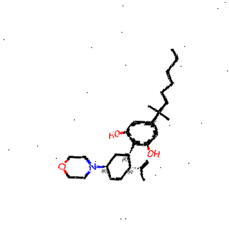 C=C(C)[C@@H]1CC[C@@H](N2CCOCC2)C[C@H]1c1c(O)cc(C(C)(C)CCCCCC)cc1O